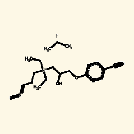 CCC.CC[N+](CC)(CCC=S=O)CC(O)COc1ccc(C#N)cc1.[I-]